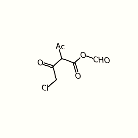 CC(=O)C(C(=O)CCl)C(=O)OC=O